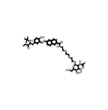 CCC(=O)C(Cc1ccc(O)c(/N=N/c2ccc3cc(C(=O)NCCOCCOCCO[C@@H]4OC(CO)[C@H](O)C(O)C4NC(C)=O)ccc3c2)c1)NC(C)(C)C